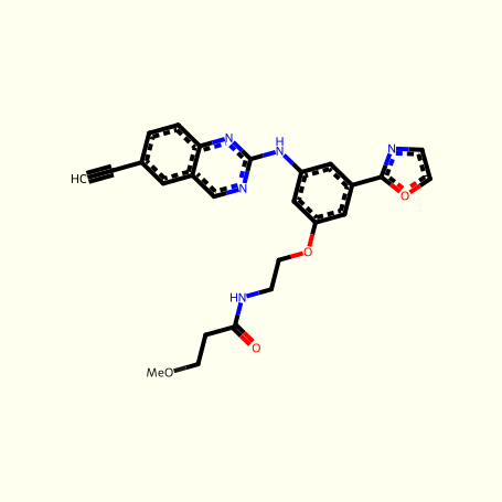 C#Cc1ccc2nc(Nc3cc(OCCNC(=O)CCOC)cc(-c4ncco4)c3)ncc2c1